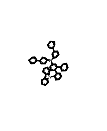 c1ccc(-c2ccc(N(c3cccc(-c4ccccc4)c3)c3ccc(-c4ccccc4-n4c5ccccc5c5ccccc54)c(-c4ccccc4)c3)cc2)cc1